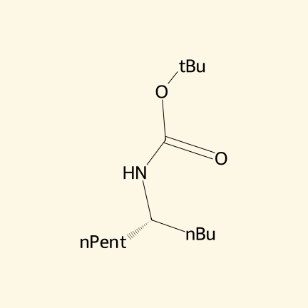 CCC[CH]C[C@@H](CCCC)NC(=O)OC(C)(C)C